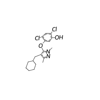 Cc1nn(C)c(Oc2cc(O)c(Cl)cc2Cl)c1CC1CCCCC1